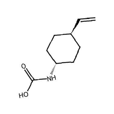 C=C[C@H]1CC[C@H](NC(=O)O)CC1